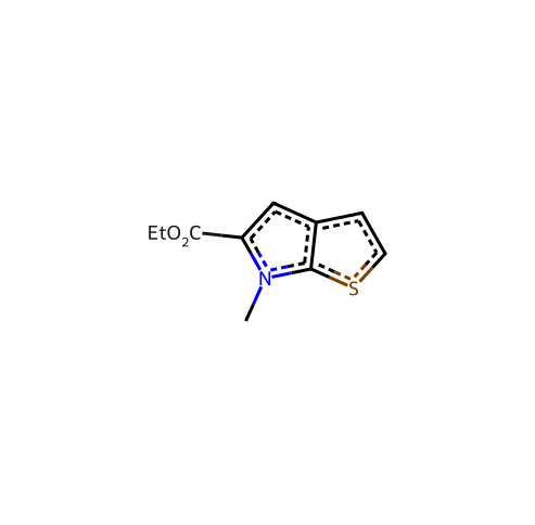 CCOC(=O)c1cc2ccsc2n1C